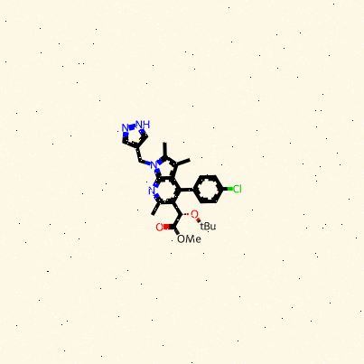 COC(=O)[C@@H](OC(C)(C)C)c1c(C)nc2c(c(C)c(C)n2Cc2cn[nH]c2)c1-c1ccc(Cl)cc1